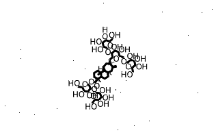 C=C1C[C@@]2(C)CCC3C(C)(CCC[C@@]3(C)C(=O)OC3OC(CO)C(O)C(O)C3OC3OC(CO)C(O)C(O)C3O)[C@@H]2CC[C@@]1(C)CC1OC(COC2OC(CO)C(O)C(O)C2O)C(O)C(O)C1OC1OC(CO)C(O)C(O)C1O